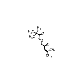 CC(C)=CC(=O)COCC(=O)C(C)(C)C